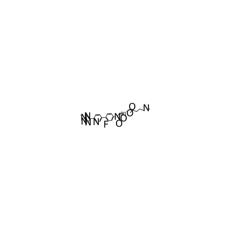 CN(C)CCCC(=O)OC[C@H]1CN(c2ccc(-c3ccc(-c4nnn(C)n4)nc3)c(F)c2)C(=O)O1